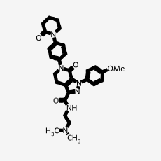 COc1ccc(-n2nc(C(=O)NCCN(C)C)c3c2C(=O)N(c2ccc(N4CCCCC4=O)cc2)CC3)cc1